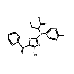 CCC(C(N)=O)N(c1ccc(F)cc1)c1nc(N)c(C(=O)c2ccccc2)s1